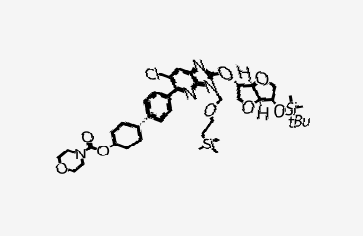 CC(C)(C)[Si](C)(C)O[C@@H]1CO[C@H]2[C@@H]1OC[C@H]2Oc1nc2cc(Cl)c(-c3ccc([C@H]4CC[C@H](OC(=O)N5CCOCC5)CC4)cc3)nc2n1COCC[Si](C)(C)C